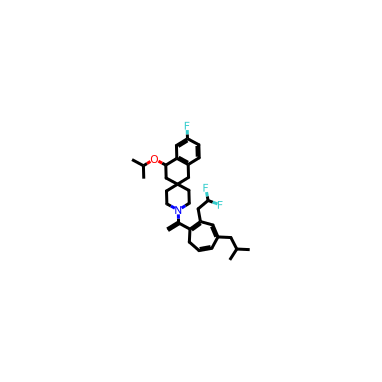 C=C(C1=C(CC(F)F)C=C(CC(C)C)C=CC1)N1CCC2(CC1)Cc1ccc(F)cc1C(OC(C)C)C2